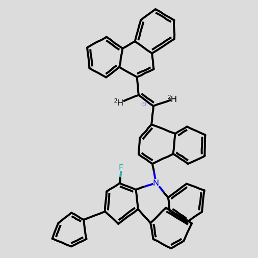 [2H]/C(=C(/[2H])c1cc2ccccc2c2ccccc12)c1ccc(N(c2ccccc2)c2c(F)cc(-c3ccccc3)cc2-c2ccccc2)c2ccccc12